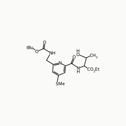 CCOC(=O)C(NC(=O)c1cc(SC)cc(CNC(=O)OC(C)(C)C)n1)C(C)O